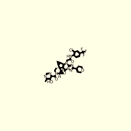 Cc1ncnc(C(=O)N2CC[C@]3(c4c(n(CC(=O)Nc5ccc(C(F)(F)F)cc5Cl)c5nc(C6=CCOCC6)nn5c4=O)C4CC43)[C@@H]3C[C@@H]32)c1O